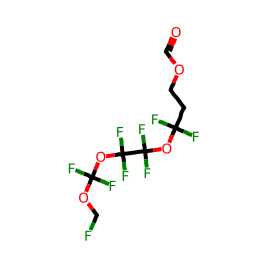 O=COCCC(F)(F)OC(F)(F)C(F)(F)OC(F)(F)OCF